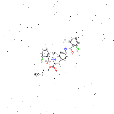 CCCCOC(=O)[C@H](Cc1ccc(NC(=O)c2c(Cl)cccc2Cl)cc1)NC(=O)c1c(C)cccc1Cl